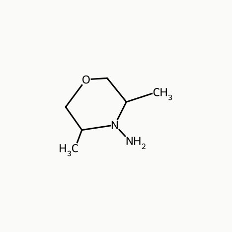 CC1COCC(C)N1N